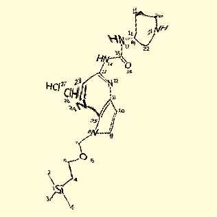 C[Si](C)(C)CCOCn1ccc2nc(NC(=O)N[C@@H]3CCNC3)cnc21.Cl.Cl